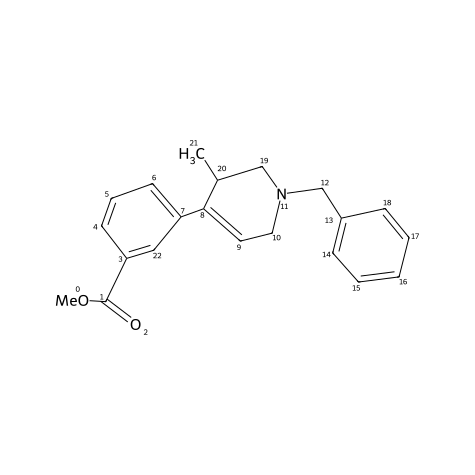 COC(=O)c1cccc(C2=CCN(Cc3ccccc3)CC2C)c1